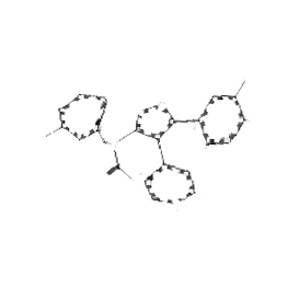 CCC(=O)N(c1cccc(C)c1)c1onc(-c2cccc(C)c2)c1-c1ccncc1